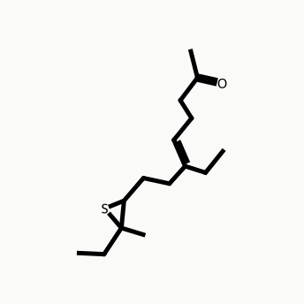 CCC(=CCCC(C)=O)CCC1SC1(C)CC